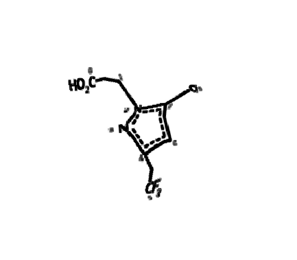 O=C(O)Cn1nc(C(F)(F)F)cc1Cl